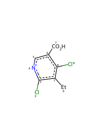 CCc1c(Cl)ncc(C(=O)O)c1Cl